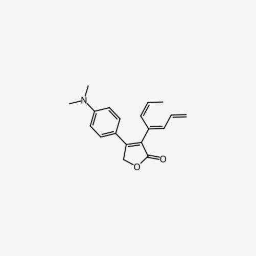 C=C/C=C(\C=C/C)C1=C(c2ccc(N(C)C)cc2)COC1=O